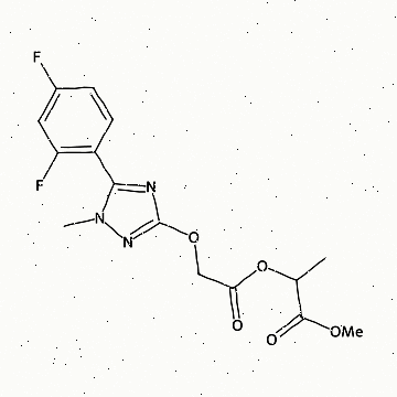 COC(=O)C(C)OC(=O)COc1nc(-c2ccc(F)cc2F)n(C)n1